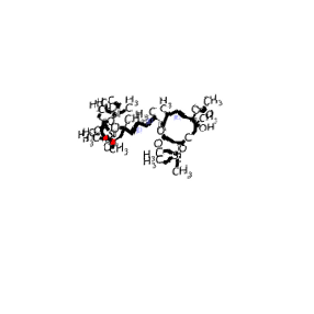 CC[C@H](O[Si](CC)(CC)CC)[C@@H](C)[C@H]1O[C@@H]1C[C@](C)(/C=C/C=C(\C)[C@H]1OC(=O)C[C@H](O[Si](CC)(CC)CC)CC[C@@](C)(O)[C@H](OC(C)=O)/C=C/[C@@H]1C)O[Si](CC)(CC)CC